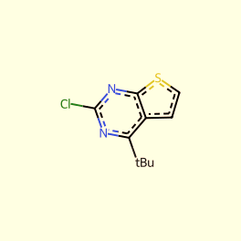 CC(C)(C)c1nc(Cl)nc2sccc12